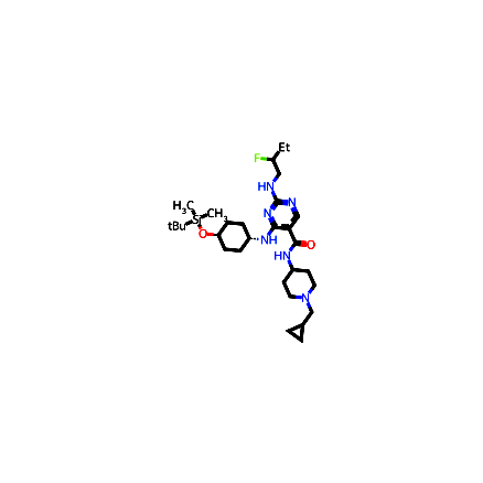 CCC(F)CNc1ncc(C(=O)NC2CCN(CC3CC3)CC2)c(N[C@H]2CC[C@H](O[Si](C)(C)C(C)(C)C)CC2)n1